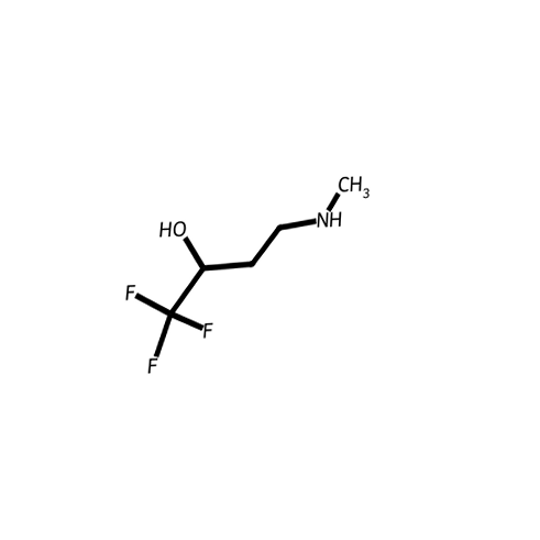 CNCCC(O)C(F)(F)F